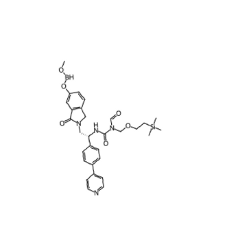 COBOc1ccc2c(c1)C(=O)N(C[C@H](NC(=O)N(C=O)COCC[Si](C)(C)C)c1ccc(-c3ccncc3)cc1)C2